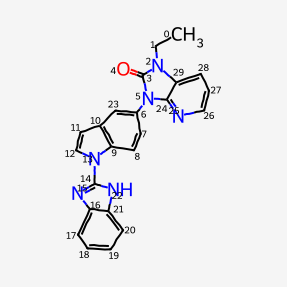 CCn1c(=O)n(-c2ccc3c(ccn3-c3nc4ccccc4[nH]3)c2)c2ncccc21